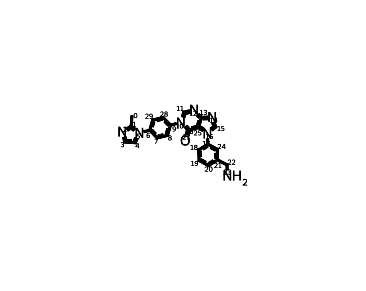 Cc1nccn1-c1ccc(-n2cnc3ncn(-c4cccc(CN)c4)c3c2=O)cc1